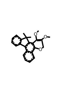 COC1=C(OC)c2c3c(c4ccccc4c2OC1)-c1ccccc1C3(C)C